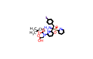 CC(C)(C)OC(=O)N(CC(=O)O)c1cccc(C(N)(Cc2ccc(I)cc2)S(=O)(=O)c2ccccn2)n1